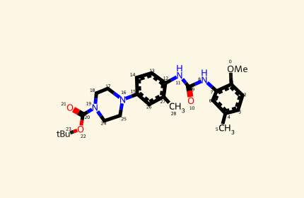 COc1ccc(C)cc1NC(=O)Nc1ccc(N2CCN(C(=O)OC(C)(C)C)CC2)cc1C